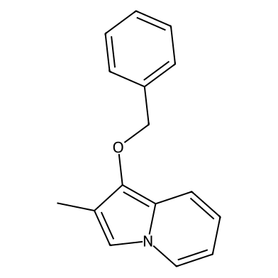 Cc1cn2ccccc2c1OCc1ccccc1